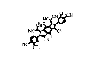 N#CC(C#N)=C1C(c2ccc(C#N)c(C(F)(F)F)c2)=C(C#N)c2c(F)c3c(c(C(F)(F)F)c21)C(=C(C#N)C#N)C(c1ccc(C#N)c(C(F)(F)F)c1)=C3C#N